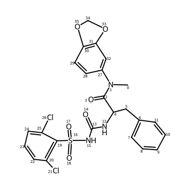 CN(C(=O)C(Cc1ccccc1)NC(=O)NS(=O)(=O)c1c(Cl)cccc1Cl)c1ccc2c(c1)OCO2